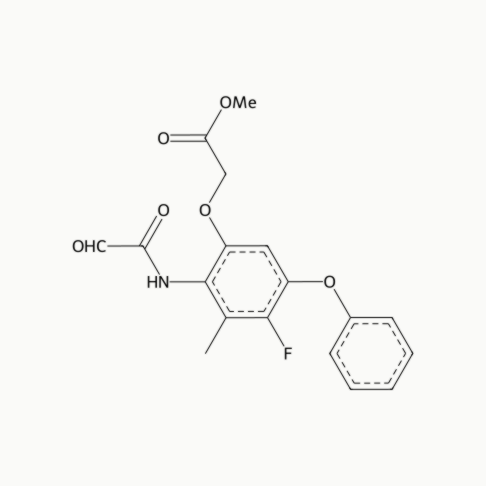 COC(=O)COc1cc(Oc2ccccc2)c(F)c(C)c1NC(=O)C=O